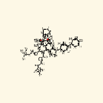 CC(C)(C)OC(=O)N1C2CCC1CC(c1nc3c(-c4ccc(-c5ccccc5)nc4)cnn3c(N(COCC[Si](C)(C)C)COCC[Si](C)(C)C)c1C1(O)CC1)C2